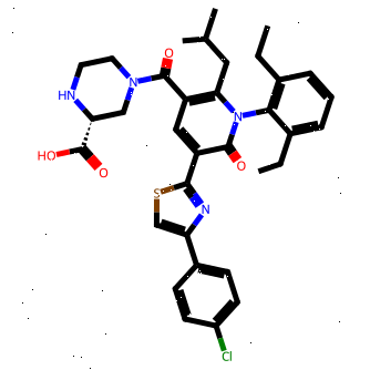 CCc1cccc(CC)c1-n1c(CC(C)C)c(C(=O)N2CCN[C@@H](C(=O)O)C2)cc(-c2nc(-c3ccc(Cl)cc3)cs2)c1=O